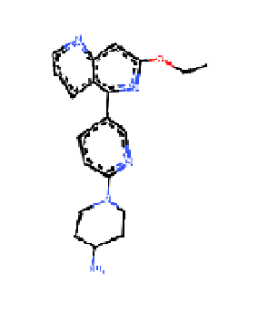 CCOc1cc2ncccc2c(-c2ccc(N3CCC(N)CC3)nc2)n1